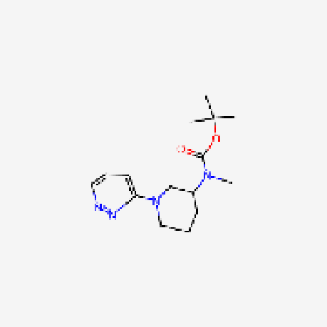 CN(C(=O)OC(C)(C)C)C1CCCN(c2cccnn2)C1